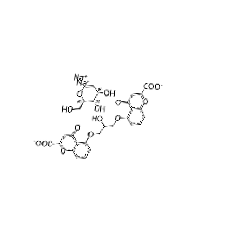 O=C([O-])c1cc(=O)c2c(OCC(O)COc3cccc4oc(C(=O)[O-])cc(=O)c34)cccc2o1.OC[C@H]1OC=C[C@@H](O)[C@@H]1O.[Na+].[Na+]